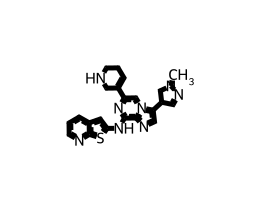 CN1CC(c2cnc3c(Nc4cc5cccnc5s4)nc(C4=CCCNC4)cn23)C=N1